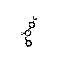 O=C1CN(c2ccc([N+](=O)[O-])cn2)CCN1Cc1ccccc1